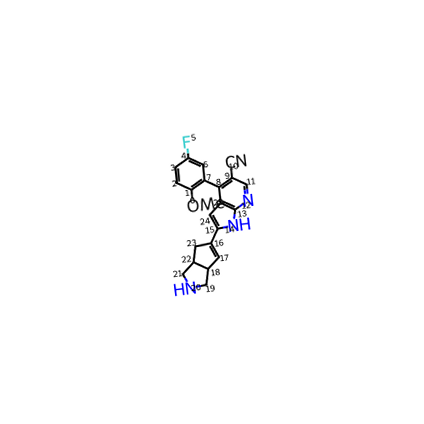 COc1ccc(F)cc1-c1c(C#N)cnc2[nH]c(C3=CC4CNCC4C3)cc12